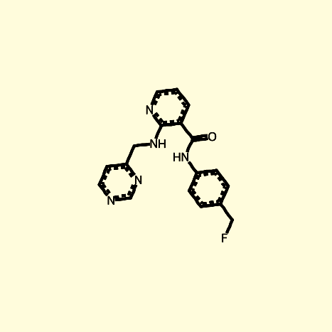 O=C(Nc1ccc(CF)cc1)c1cccnc1NCc1ccncn1